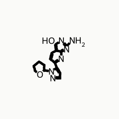 Nc1nc(O)c2ccc(-c3ccnn3C3CCCCO3)nc2n1